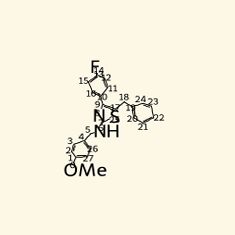 COc1ccc(CNc2nc(-c3ccc(F)cc3)c(Cc3ccccc3)s2)cc1